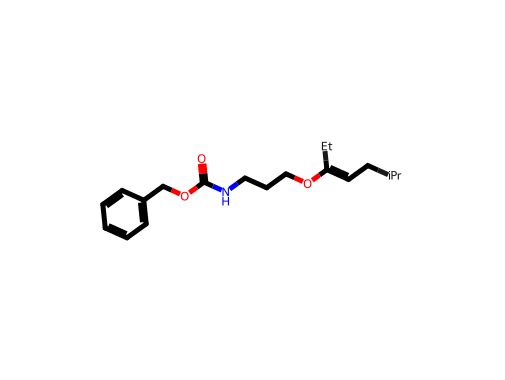 CC/C(=C\CC(C)C)OCCCNC(=O)OCc1ccccc1